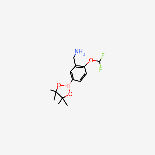 CC1(C)OB(c2ccc(OC(F)F)c(CN)c2)OC1(C)C